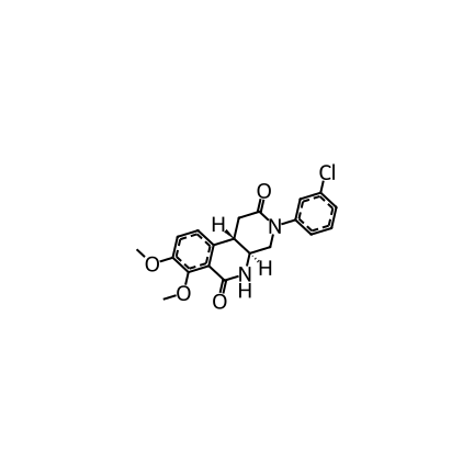 COc1ccc2c(c1OC)C(=O)N[C@@H]1CN(c3cccc(Cl)c3)C(=O)C[C@@H]21